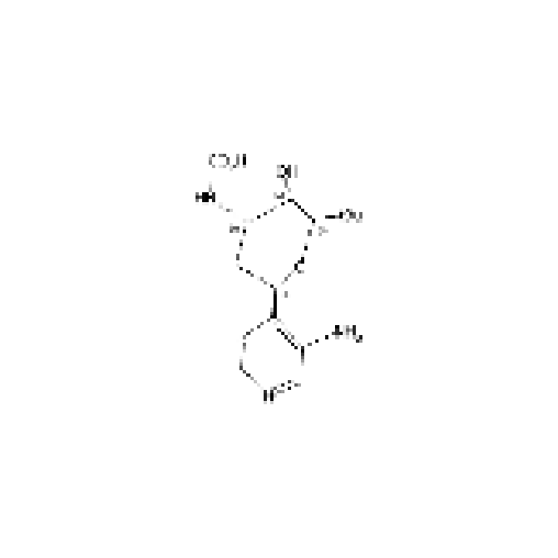 CC(C)(C)[C@H]1O[C@@H](c2ccncc2N)C[C@H](NC(=O)O)[C@@H]1O